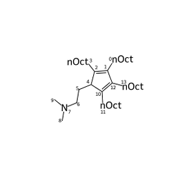 CCCCCCCCC1=C(CCCCCCCC)C(CCN(C)C)C(CCCCCCCC)=C1CCCCCCCC